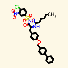 CCCCCC(=O)NC(Cc1ccc(OCc2ccc(-c3ccccc3)cc2)cc1)C(=O)NS(=O)(=O)c1ccc(Cl)c([N+](=O)[O-])c1